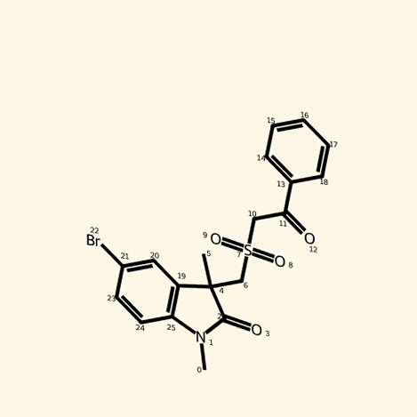 CN1C(=O)C(C)(CS(=O)(=O)CC(=O)c2ccccc2)c2cc(Br)ccc21